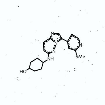 CSc1cc(-c2cnc3ccc(NC4CCC(O)CC4)nn23)ccn1